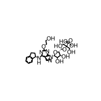 O=P(O)(O)C(CO)(CO)OC[C@H]1O[C@@H](n2ncc3c(N[C@@H]4CCc5ccccc54)nc(OCCO)nc32)[C@H](O)[C@@H]1O